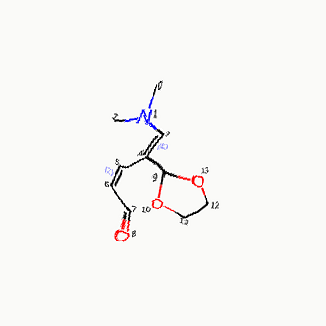 CN(C)/C=C(\C=C/C=O)C1OCCO1